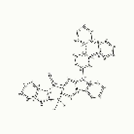 CC1(C)c2cc3c4ccccc4n(-c4ccc5c6ccccc6c6ccccc6c5c4)c3cc2C(=O)n2c1nc1ccccc12